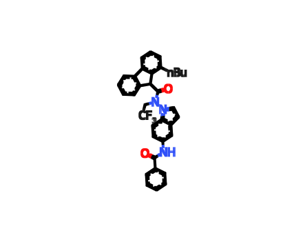 CCCCc1cccc2c1C(C(=O)N(CC(F)(F)F)n1ccc3cc(NC(=O)c4ccccc4)ccc31)c1ccccc1-2